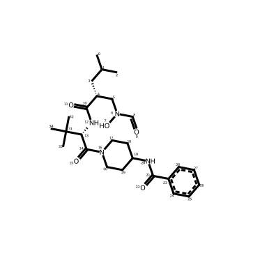 CC(C)C[C@H](CN(O)C=O)C(=O)N[C@H](C(=O)N1CCC(NC(=O)c2ccccc2)CC1)C(C)(C)C